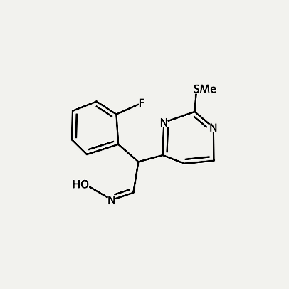 CSc1nccc(C(/C=N\O)c2ccccc2F)n1